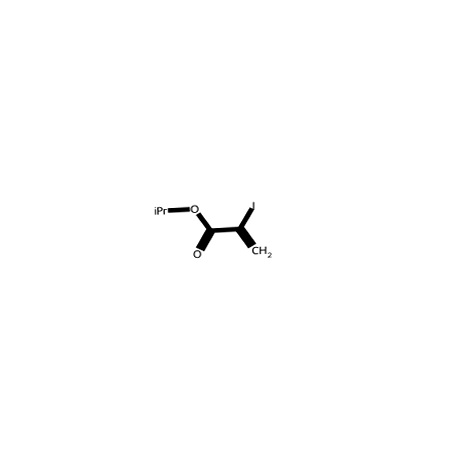 C=C(I)C(=O)OC(C)C